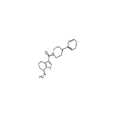 O=C(c1csc2c1CCCC2=NO)N1CCC(c2ccccc2)CC1